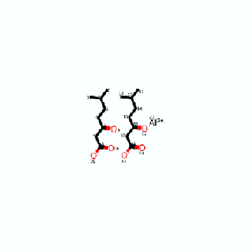 CC(C)CCC(=O)CC(=O)[O-].CC(C)CCC(=O)CC(=O)[O-].[Al+2]